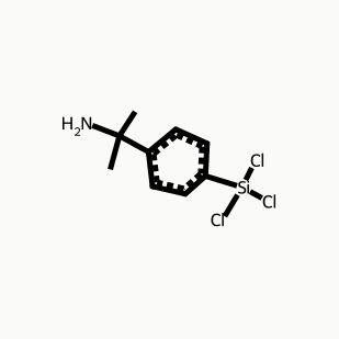 CC(C)(N)c1ccc([Si](Cl)(Cl)Cl)cc1